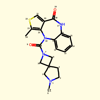 CCN1CCC2(C1)CN(C(=O)N1c3ccccc3NC(=O)c3csc(C)c31)C2